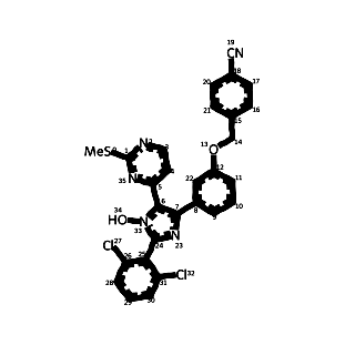 CSc1nccc(-c2c(-c3cccc(OCc4ccc(C#N)cc4)c3)nc(-c3c(Cl)cccc3Cl)n2O)n1